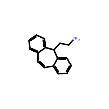 NCCC1c2ccccc2C=Cc2ccccc21